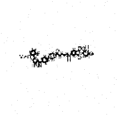 COc1cccc(F)c1-c1ncc2[nH]nc(-c3ccc(N4CCN(C(=O)CCCCNc5ccc6c(c5)C(=O)N(C5CCC(=O)NC5=O)C6=O)CC4)cc3)c2n1